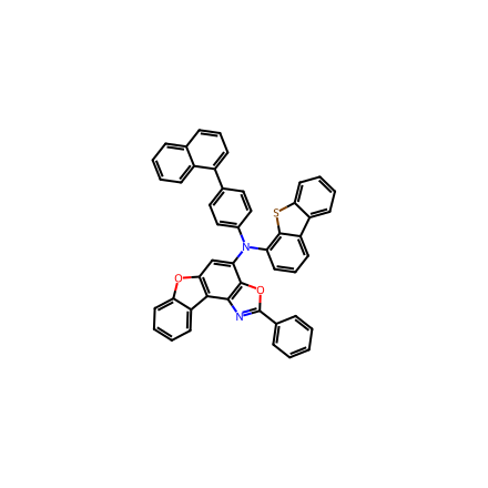 c1ccc(-c2nc3c(o2)c(N(c2ccc(-c4cccc5ccccc45)cc2)c2cccc4c2sc2ccccc24)cc2oc4ccccc4c23)cc1